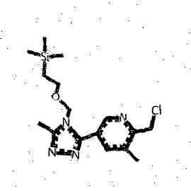 Cc1cc(-c2nnc(C)n2COCC[Si](C)(C)C)cnc1CCl